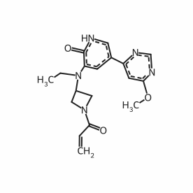 C=CC(=O)N1CC(N(CC)c2cc(-c3cc(OC)ncn3)c[nH]c2=O)C1